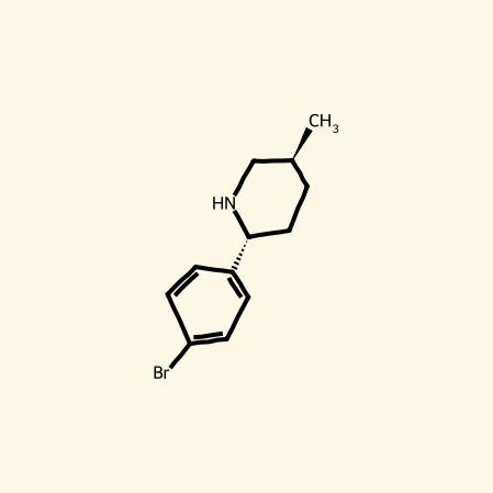 C[C@H]1CC[C@H](c2ccc(Br)cc2)NC1